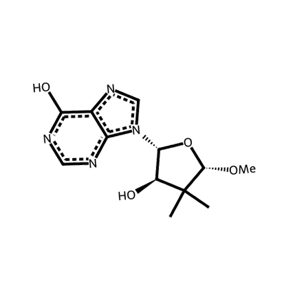 CO[C@H]1O[C@@H](n2cnc3c(O)ncnc32)[C@H](O)C1(C)C